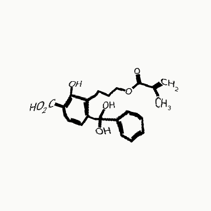 C=C(C)C(=O)OCCCc1c(C(O)(O)c2ccccc2)ccc(C(=O)O)c1O